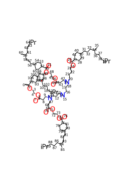 C=C(OCCOC(=O)CCN(CCCN(C)CCCN(CCCCOC(=O)C1CCC(CCCC(C)CCCC(C)C)CC1)CCC(=O)OCCOC(=O)C1CCC(CCCC(C)CCCC(C)C)CC1)CCC(=O)OCCOC(=O)C1CCC(CCCC(C)CCCC(C)C)CC1)C1CCC(CCCC(C)CCCC(C)C)CC1